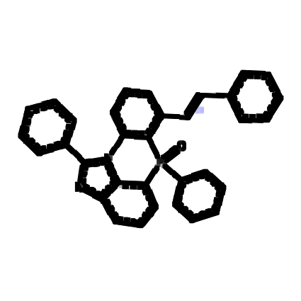 O=P1(c2ccccc2)c2c(/C=C/c3ccccc3)cccc2-n2c(-c3ccccc3)nc3cccc1c32